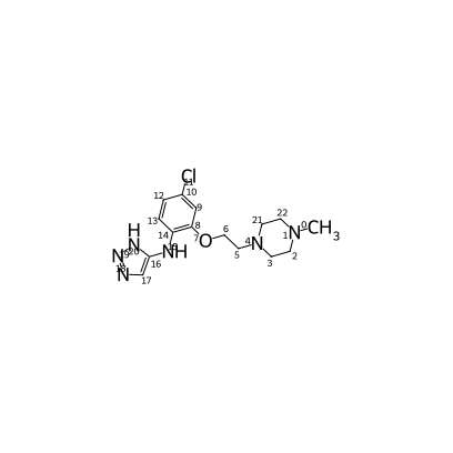 CN1CCN(CCOc2cc(Cl)ccc2Nc2cnn[nH]2)CC1